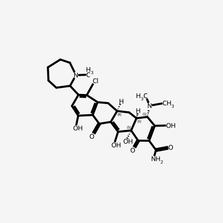 CN1CCCCCC1c1cc(O)c2c(c1Cl)C[C@H]1C[C@H]3[C@H](N(C)C)C(O)=C(C(N)=O)C(=O)[C@@]3(O)C(O)=C1C2=O